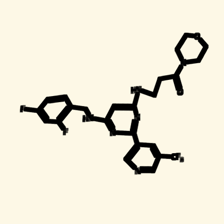 O=C(CCNc1cc(NCc2ccc(F)cc2F)nc(-c2cncc(C(F)(F)F)c2)n1)N1CCOCC1